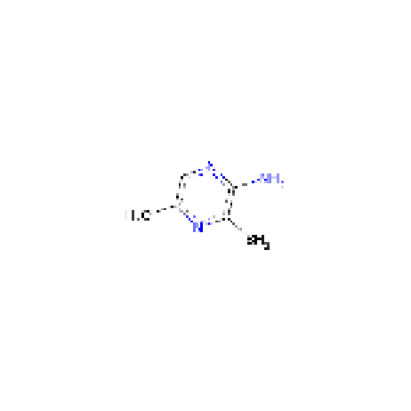 Bc1nc(C)cnc1N